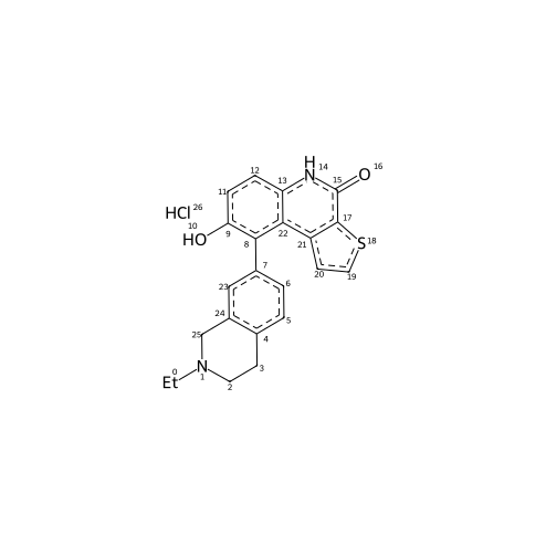 CCN1CCc2ccc(-c3c(O)ccc4[nH]c(=O)c5sccc5c34)cc2C1.Cl